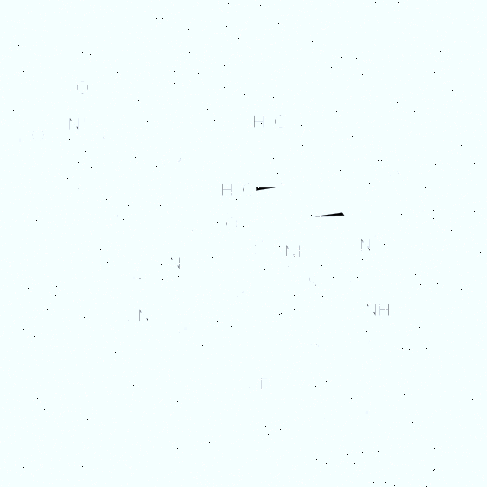 CC[C@H](C)[C@@H](CN(Cc1cccs1)C(=S)Nc1cccc(F)c1)NC(=O)Cc1cncn1Cc1ccc([N+](=O)[O-])cc1